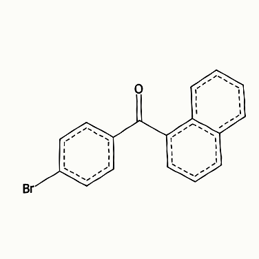 O=C(c1ccc(Br)cc1)c1cccc2ccccc12